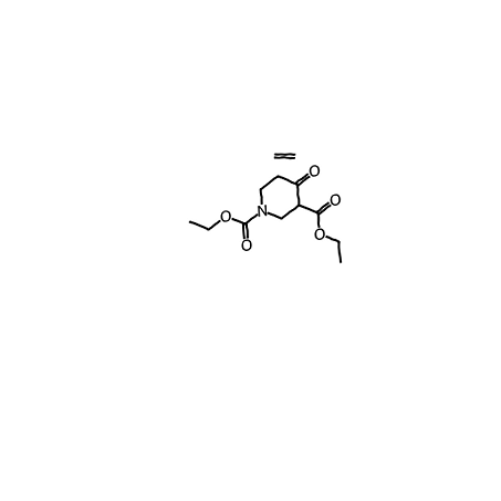 C=C.CCOC(=O)C1CN(C(=O)OCC)CCC1=O